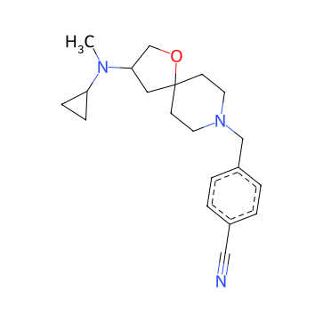 CN(C1CC1)C1COC2(CCN(Cc3ccc(C#N)cc3)CC2)C1